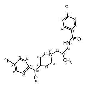 CC(CNC(=O)c1ccc(F)cc1)CN1CCC(C(=O)c2ccc(F)cc2)CC1